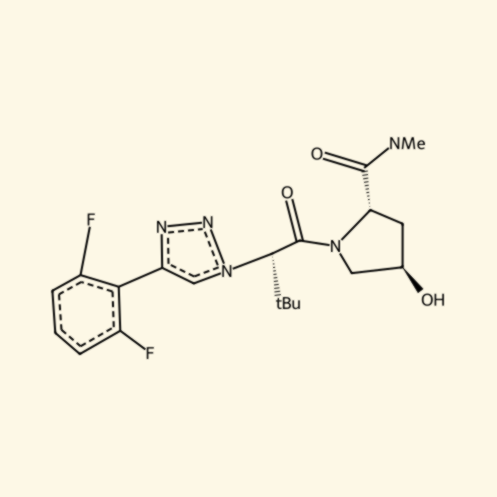 CNC(=O)[C@@H]1C[C@@H](O)CN1C(=O)[C@@H](n1cc(-c2c(F)cccc2F)nn1)C(C)(C)C